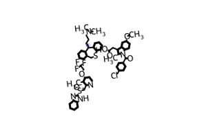 CN(C)CC/C=C1/c2ccccc2CSc2ccccc21.COc1ccc2c(c1)c(CC(=O)O)c(C)n2C(=O)c1ccc(Cl)cc1.Cc1c(OCC(F)(F)F)ccnc1C[S+]([O-])c1nc2ccccc2[nH]1